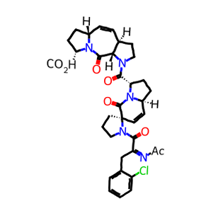 CC(=O)/N=C(/Cc1ccccc1Cl)C(=O)N1CCC[C@]12C=C[C@@H]1CC[C@@H](C(=O)N3CC[C@@H]4C=C[C@H]5CC[C@@H](C(=O)O)N5C(=O)[C@H]43)N1C2=O